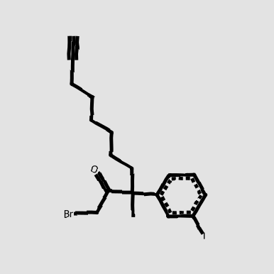 C#CCCCCCCC(C)(C(=O)CBr)c1cccc(I)c1